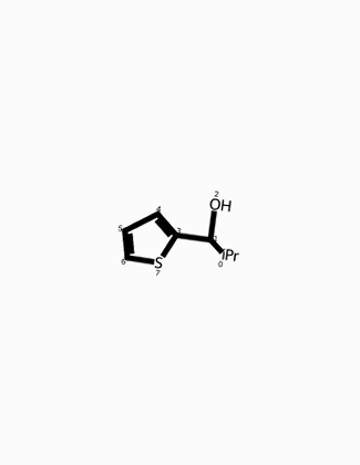 CC(C)C(O)c1cccs1